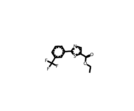 CCOC(=O)c1cnc(-c2cccc(C(F)(F)F)c2)s1